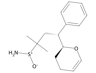 CC(C)(C[C@H](c1ccccc1)[C@@H]1CCC=CO1)[S+](N)[O-]